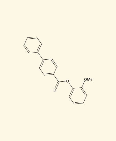 COc1ccccc1OC(=O)c1ccc(-c2ccccc2)cc1